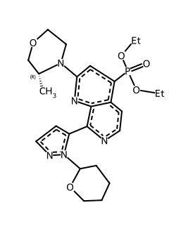 CCOP(=O)(OCC)c1cc(N2CCOC[C@H]2C)nc2c(-c3ccnn3C3CCCCO3)nccc12